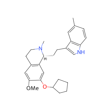 COc1cc2c(cc1OC1CCCC1)[C@@H](CCc1c[nH]c3ccc(C)cc13)N(C)CC2